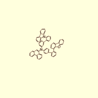 c1cc(-c2ccccc2-n2c3ccccc3c3ccccc32)cc(N(c2ccc(-c3ccccc3-c3cccc4c3oc3ccccc34)cc2)c2cc3ccccc3c3ccccc23)c1